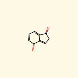 O=C1C=CC=C2C(=O)CC=C12